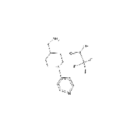 NCC1CCN(c2ccncc2)CC1.O=C(O)C(F)(F)F